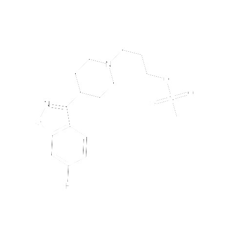 C[C@H](COS(C)(=O)=O)CN1CCC(c2noc3cc(F)ccc23)CC1